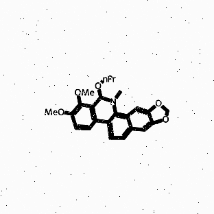 CCCOC1c2c(ccc(OC)c2OC)-c2ccc3cc4c(cc3c2N1C)OCO4